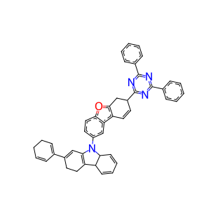 C1=CC2C3=C(C=C(C4=CCCC=C4)CC3)N(c3ccc4oc5c(c4c3)C=CC(c3nc(-c4ccccc4)nc(-c4ccccc4)n3)C5)C2C=C1